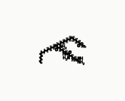 CCCCC/C=C\CCCCCCCCN(CCCCCCCC/C=C\CCCCC(=O)OCC)C(=O)C(N)CCCCNC(=O)C(N)CCCNC(=N)N